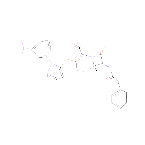 O=C(Cc1ccccc1)N[C@@H]1C(=O)N2C(C(=O)O)=C(Sc3ccnn3-c3cccc([N+](=O)[O-])c3)CS[C@@H]12